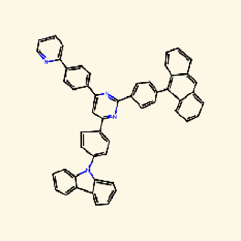 c1ccc(-c2ccc(-c3cc(-c4ccc(-n5c6ccccc6c6ccccc65)cc4)nc(-c4ccc(-c5c6ccccc6cc6ccccc56)cc4)n3)cc2)nc1